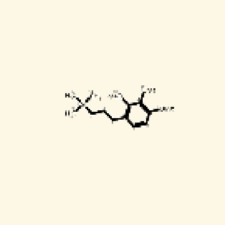 COc1ccc(CCC[Si](C)(C)C)c(OC)c1OC